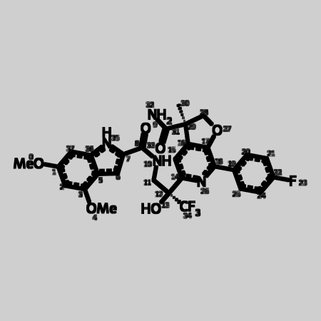 COc1cc(OC)c2cc(C(=O)NC[C@](O)(c3cc4c(c(-c5ccc(F)cc5)n3)OC[C@]4(C)C(N)=O)C(F)(F)F)[nH]c2c1